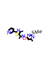 CSc1nc(C)cc(O/N=C(\C)c2sc(-c3cccnc3)nc2C)n1